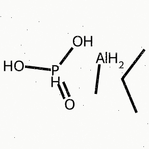 CCC.O=[PH](O)O.[CH3][AlH2]